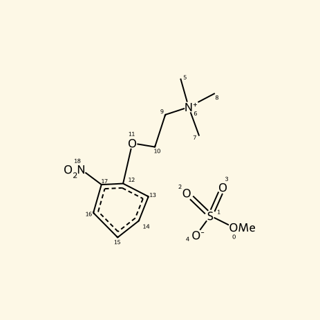 COS(=O)(=O)[O-].C[N+](C)(C)CCOc1ccccc1[N+](=O)[O-]